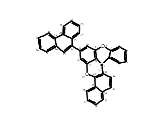 S=P12c3ccccc3Oc3cc(-c4cc5ccccc5c5ccccc45)cc(c31)Oc1c2ccc2ccccc12